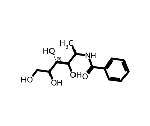 CC(NC(=O)c1ccccc1)C(O)[C@@H](O)C(O)CO